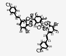 Cc1cc(C)c(S(=O)(=O)On2c(/C=C/c3ccc(Cl)cc3)cc(C)c(Br)c2=O)c(C)c1S(=O)(=O)On1c(/C=C/c2ccc(Cl)cc2)cc(C)c(Br)c1=O